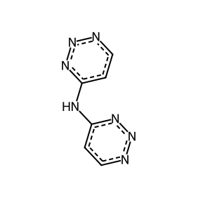 c1cc(Nc2ccnnn2)nnn1